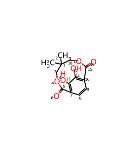 CC1(C)COC(=O)c2ccc(c(O)c2O)C(=O)OC1